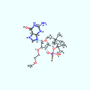 COCCOC1[C@@H](OP(O)(=S)OC(C)(C)C)[C@@H](CC(C)(C)C)O[C@H]1n1cnc2c(=O)[nH]c(N)nc21